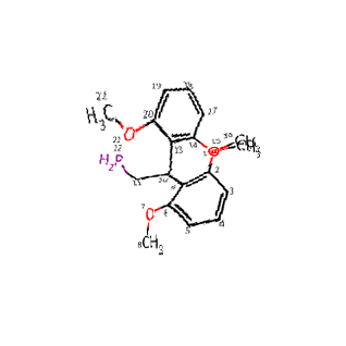 COc1cccc(OC)c1C(CP)c1c(OC)cccc1OC